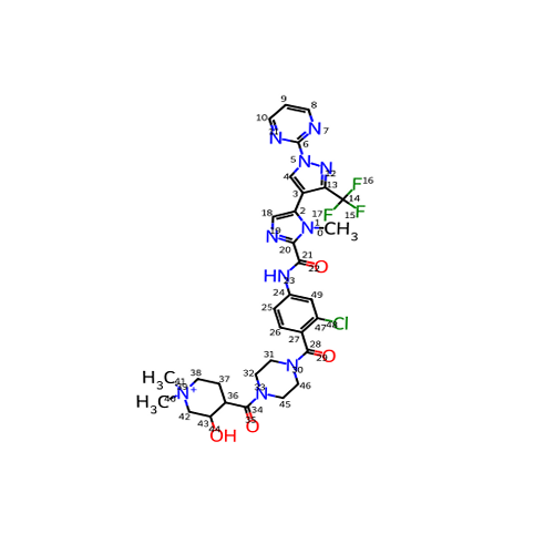 Cn1c(-c2cn(-c3ncccn3)nc2C(F)(F)F)cnc1C(=O)Nc1ccc(C(=O)N2CCN(C(=O)C3CC[N+](C)(C)CC3O)CC2)c(Cl)c1